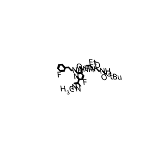 CC[C@H](CNC(=O)c1cc(F)c(-c2cnn(C)c2)nc1NCCc1cccc(F)c1)NC(=O)CNC(=O)OC(C)(C)C